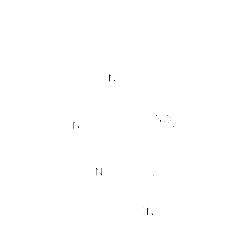 N#CSc1ncnc(N2CCCC2)c1[N+](=O)[O-]